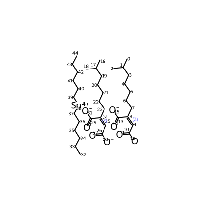 CC(C)CCCCC/C(=C/C(=O)[O-])C(=O)[O-].CC(C)CCCCC/C(=C/C(=O)[O-])C(=O)[O-].CCCCC[CH2][Sn+4][CH2]CCCCC